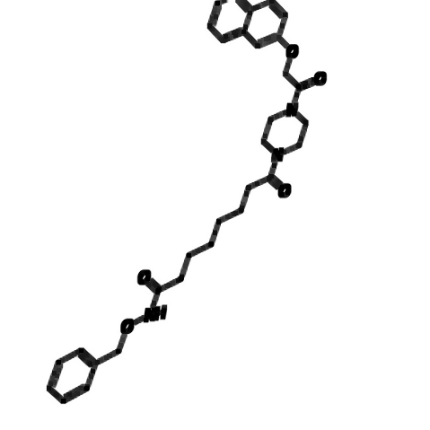 O=C(CCCCCCC(=O)N1CCN(C(=O)COc2ccc3ccccc3c2)CC1)NOCc1ccccc1